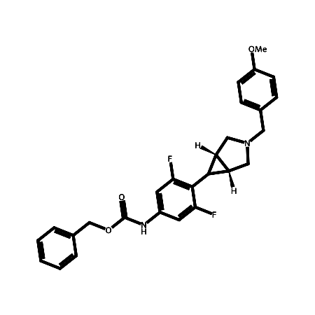 COc1ccc(CN2C[C@@H]3C(c4c(F)cc(NC(=O)OCc5ccccc5)cc4F)[C@@H]3C2)cc1